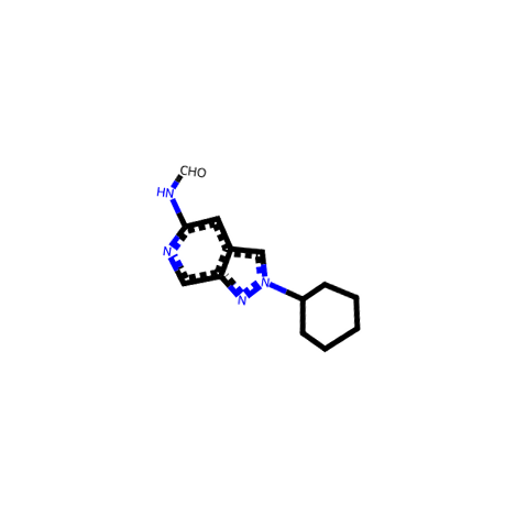 O=CNc1cc2cn(C3CCCCC3)nc2cn1